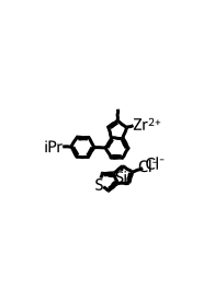 CC1=C2c3cscc3C1[Si]2(C)C.CC1=Cc2c(-c3ccc(C(C)C)cc3)cccc2[CH]1[Zr+2].[Cl-].[Cl-]